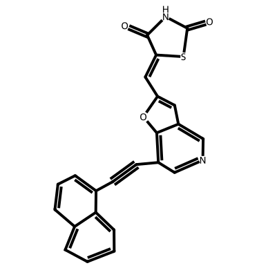 O=C1NC(=O)C(=Cc2cc3cncc(C#Cc4cccc5ccccc45)c3o2)S1